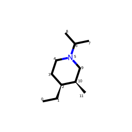 CC[C@H]1CCN(C(C)C)C[C@H]1C